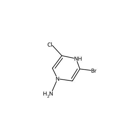 NN1C=C(Cl)NC(Br)=C1